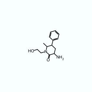 CC1C(c2ccccc2)CC(N)C(=O)N1CCO